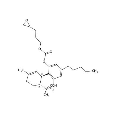 C=C(C)[C@@H]1CCC(C)=C[C@H]1c1c(O)cc(CCCCC)cc1OC(=O)OCCCC1CO1